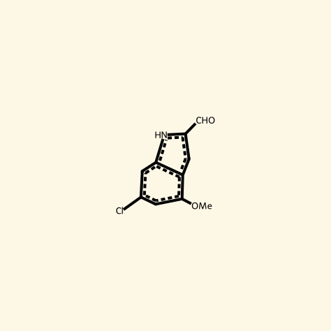 COc1cc(Cl)cc2[nH]c(C=O)cc12